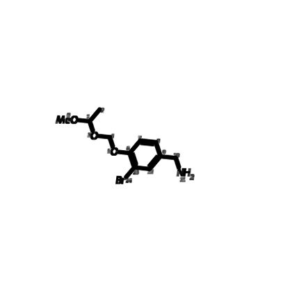 COC(C)OCOc1ccc(CN)cc1Br